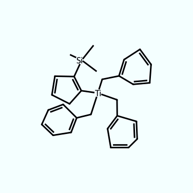 C[Si](C)(C)C1=[C]([Ti]([CH2]c2ccccc2)([CH2]c2ccccc2)[CH2]c2ccccc2)CC=C1